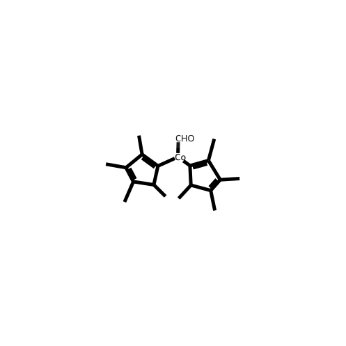 CC1=C(C)C(C)[C]([Co]([CH]=O)[C]2=C(C)C(C)=C(C)C2C)=C1C